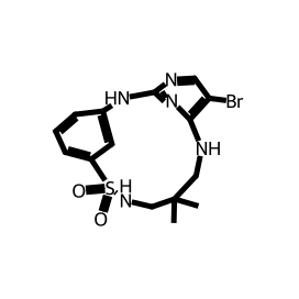 CC1(C)CNc2nc(ncc2Br)Nc2cccc(c2)S(=O)(=O)NC1